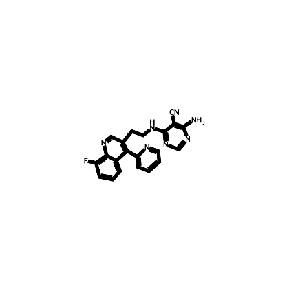 N#Cc1c(N)ncnc1NCCc1cnc2c(F)cccc2c1-c1ccccn1